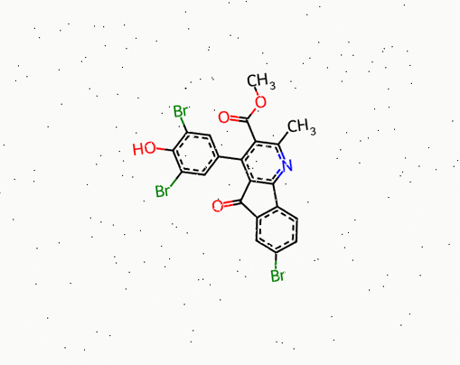 COC(=O)c1c(C)nc2c(c1-c1cc(Br)c(O)c(Br)c1)C(=O)c1cc(Br)ccc1-2